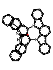 c1ccc(-c2cc(-n3c4ccccc4c4ccc5c6ccccc6n(-c6cc(-c7ccccc7)nc(-c7ccccc7)c6)c5c43)cc(-c3ccccc3)n2)cc1